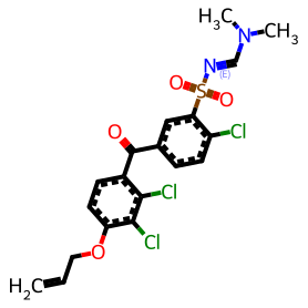 C=CCOc1ccc(C(=O)c2ccc(Cl)c(S(=O)(=O)/N=C/N(C)C)c2)c(Cl)c1Cl